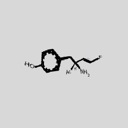 CC(=O)[C@](N)(/C=C/F)Cc1ccc(O)cc1